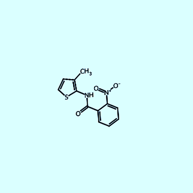 Cc1ccsc1NC(=O)c1ccccc1[N+](=O)[O-]